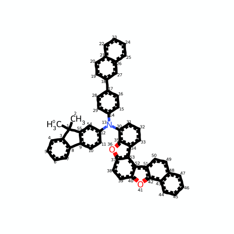 CC1(C)c2ccccc2-c2ccc(N(c3ccc(-c4ccc5ccccc5c4)cc3)c3cccc4c3oc3ccc5oc6c7ccccc7ccc6c5c34)cc21